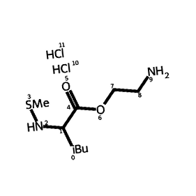 CCC(C)C(NSC)C(=O)OCCN.Cl.Cl